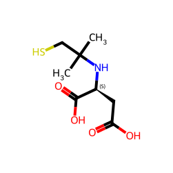 CC(C)(CS)N[C@@H](CC(=O)O)C(=O)O